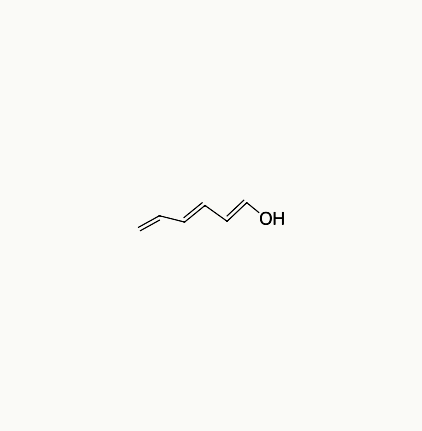 C=CC=CC=CO